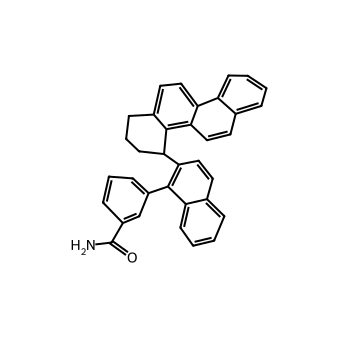 NC(=O)c1cccc(-c2c(C3CCCc4ccc5c(ccc6ccccc65)c43)ccc3ccccc23)c1